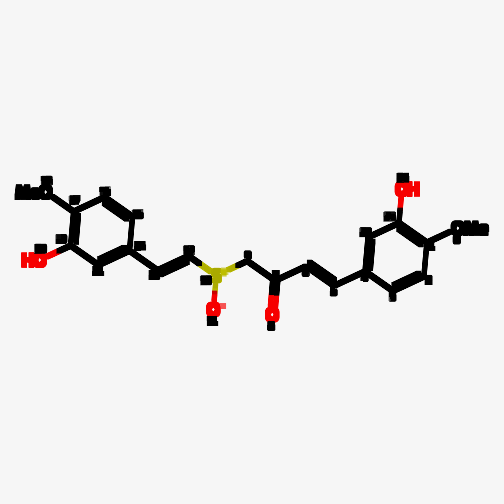 COc1ccc(C=CC(=O)C[S+]([O-])C=Cc2ccc(OC)c(O)c2)cc1O